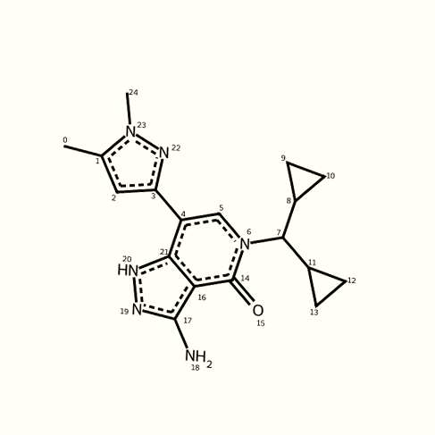 Cc1cc(-c2cn(C(C3CC3)C3CC3)c(=O)c3c(N)n[nH]c23)nn1C